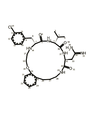 CC(C)[C@H]1NC(=O)[C@@H](Cc2cccc(Cl)c2)NCCOc2ccccc2CCCNC(=O)[C@H](CC(=N)N)NC1=O